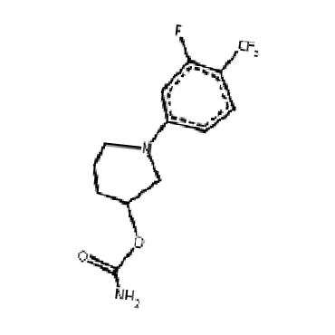 NC(=O)OC1CCCN(c2ccc(C(F)(F)F)c(F)c2)C1